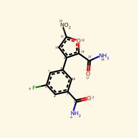 NC(=O)c1cc(F)cc(-c2cc([N+](=O)[O-])oc2C(N)=O)c1